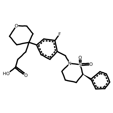 O=C(O)CCC1(c2ccc(CN3CCC[C@H](c4ccccc4)S3(=O)=O)c(F)c2)CCOCC1